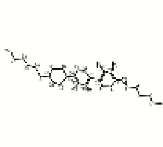 CCCCCCOc1ccc(-c2ccc(C3CCC(CCCCCC)CC3)c(F)c2F)c(F)c1F